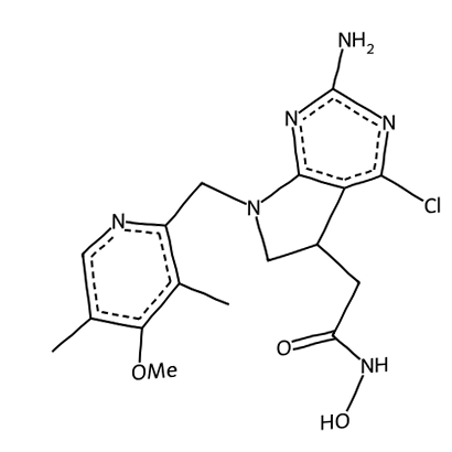 COc1c(C)cnc(CN2CC(CC(=O)NO)c3c(Cl)nc(N)nc32)c1C